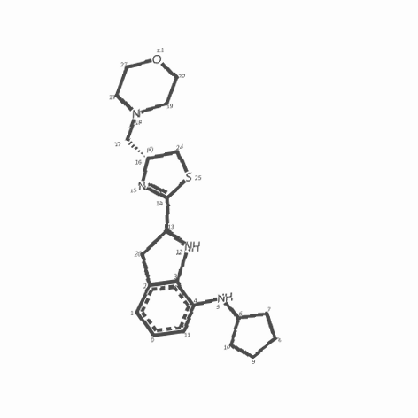 c1cc2c(c(NC3CCCC3)c1)NC(C1=N[C@H](CN3CCOCC3)CS1)C2